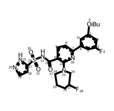 CC(C)COc1cc(F)cc(-c2ccc(C(=O)NS(=O)(=O)c3ccn[nH]3)c(N3CCCC(F)C3)n2)c1